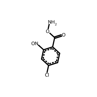 NOC(=O)c1ccc(Cl)cc1N=O